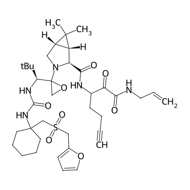 C#CCCC(NC(=O)[C@@H]1[C@@H]2[C@H](CN1C1([C@@H](NC(=O)NC3(CS(=O)(=O)Cc4ccco4)CCCCC3)C(C)(C)C)CO1)C2(C)C)C(=O)C(=O)NCC=C